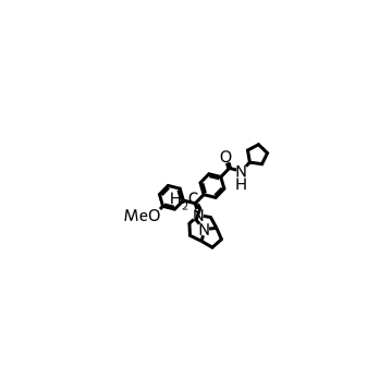 C=CCN1C2CCC1CN(C(c1ccc(C(=O)NC3CCCC3)cc1)c1cccc(OC)c1)CC2